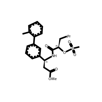 COC(=O)C[C@H](NC(=O)[C@@H](CC(C)C)OS(C)(=O)=O)c1cccc(-c2ccccc2C)c1